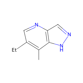 CCc1cnc2cn[nH]c2c1C